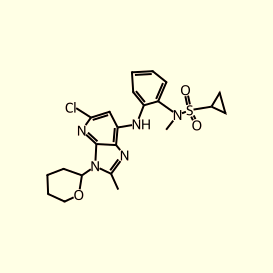 Cc1nc2c(Nc3ccccc3N(C)S(=O)(=O)C3CC3)cc(Cl)nc2n1C1CCCCO1